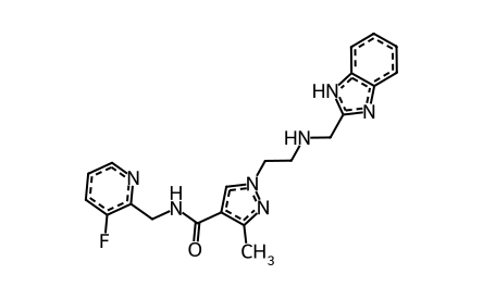 Cc1nn(CCNCc2nc3ccccc3[nH]2)cc1C(=O)NCc1ncccc1F